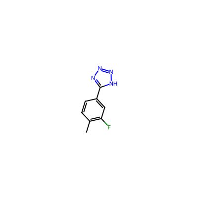 Cc1ccc(-c2nnn[nH]2)cc1F